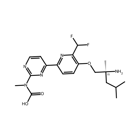 CC(C)C[C@](C)(N)COc1ccc(-c2ccnc(N(C)C(=O)O)n2)nc1C(F)F